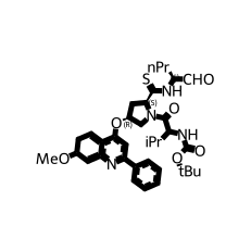 CCC[C@@H](C=O)NC(=S)[C@@H]1C[C@@H](Oc2cc(-c3ccccc3)nc3c2=CCC(OC)C=3)CN1C(=O)C(NC(=O)OC(C)(C)C)C(C)C